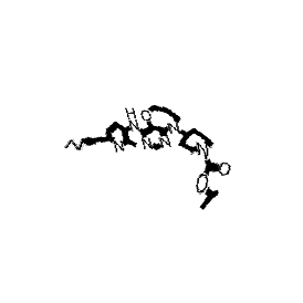 Cc1nc(C#N)ccc1Nc1ncnc2c1OCCCN2C1CCN(C(=O)OC(C)C)CC1